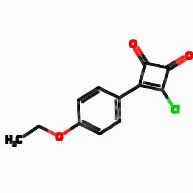 CCOc1ccc(-c2c(Cl)c(=O)c2=O)cc1